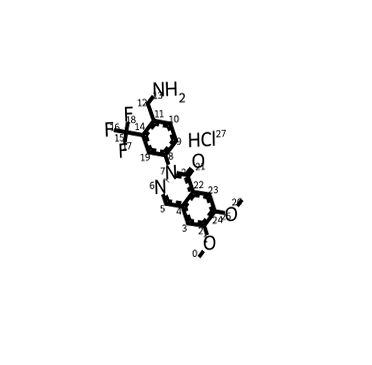 COc1cc2cnn(-c3ccc(CN)c(C(F)(F)F)c3)c(=O)c2cc1OC.Cl